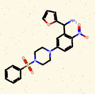 NC(c1ccco1)c1cc(N2CCN(S(=O)(=O)c3ccccc3)CC2)ccc1[N+](=O)[O-]